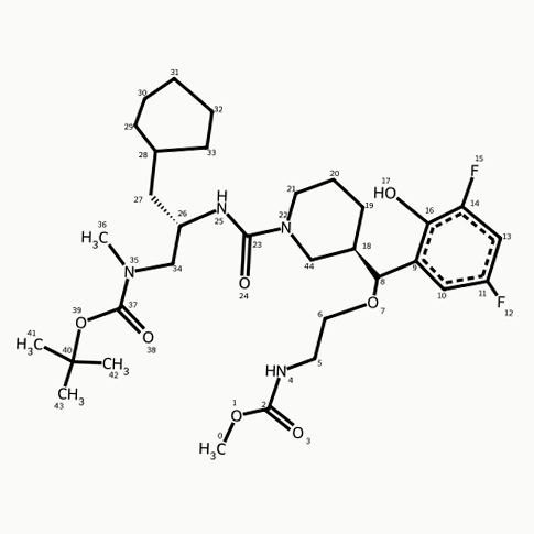 COC(=O)NCCOC(c1cc(F)cc(F)c1O)[C@@H]1CCCN(C(=O)N[C@@H](CC2CCCCC2)CN(C)C(=O)OC(C)(C)C)C1